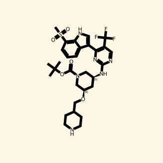 CC(C)(C)OC(=O)N1C[C@@H](Nc2ncc(C(F)(F)F)c(-c3c[nH]c4c(S(C)(=O)=O)cccc34)n2)C[C@@H](OCC2CCNCC2)C1